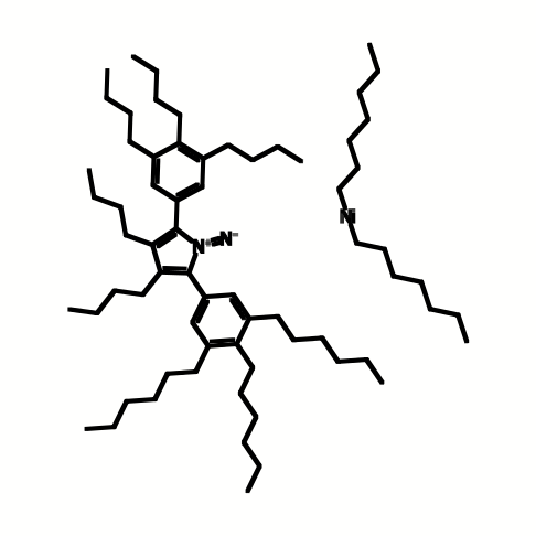 CCCCCC[CH2][Ni][CH2]CCCCCC.CCCCCCc1cc(C2=C(CCCC)C(CCCC)=C(c3cc(CCCC)c(CCCC)c(CCCC)c3)[N+]2=[N-])cc(CCCCCC)c1CCCCCC